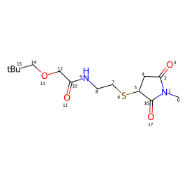 CN1C(=O)CC(SCCNC(=O)COCC(C)(C)C)C1=O